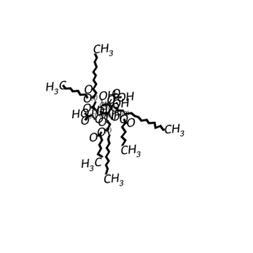 CCCCCCCCCCC[C@H](CC(=O)N[C@H]1[C@H](OC[C@H](NC(=O)C[C@@H](CCCCCCCCCCC)OC(=O)CCCCCC)C(=O)O)O[C@H](CO)[C@@H](OP(=O)(O)O)[C@@H]1OC(=O)C[C@@H](CCCCCCCCCCC)OC(=O)CCCCCC)OC(=O)CCCCCC